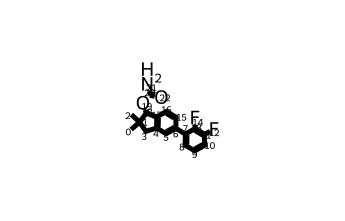 CC1(C)Cc2cc(-c3cccc(F)c3F)ccc2C1OC(N)=O